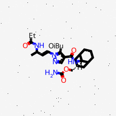 CCC(=O)NC(C)/C=C/n1ncc(C(=O)N[C@H]2C3CCCC2C[C@@H](COC(N)=O)C3)c1OCC(C)C